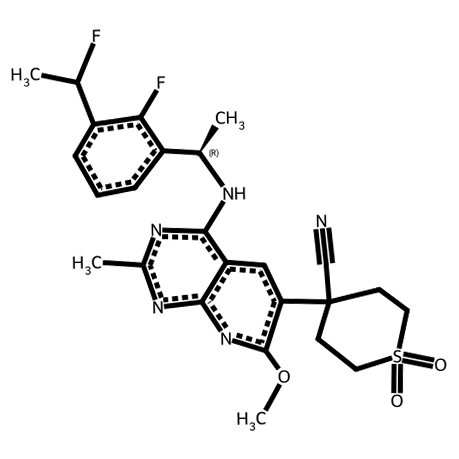 COc1nc2nc(C)nc(N[C@H](C)c3cccc(C(C)F)c3F)c2cc1C1(C#N)CCS(=O)(=O)CC1